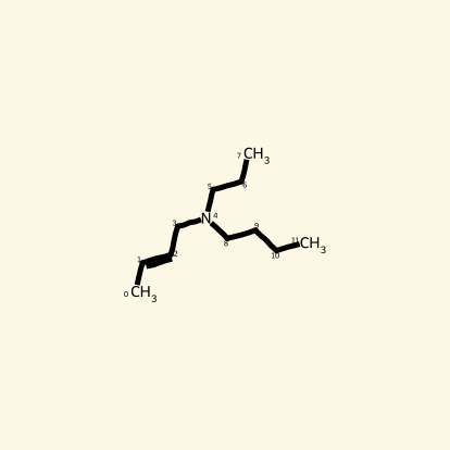 CC=CCN(CCC)CCCC